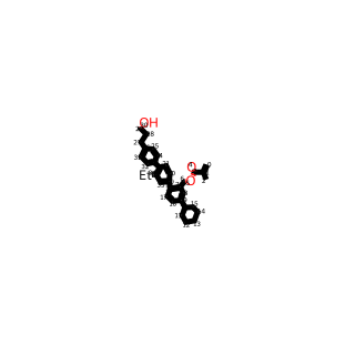 C=C(C)C(=O)OCc1cc(C2CCCCC2)ccc1-c1ccc(-c2ccc(CCCO)cc2)c(CC)c1